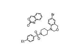 CCc1ccc(S(=O)(=O)N2CCC(N3COCc4cc(Br)ccc43)CC2)cc1.O=c1nc2ccccc2co1